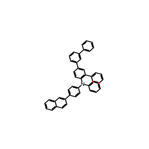 c1ccc(-c2cccc(-c3ccc(N(c4ccccc4)c4ccc(-c5ccc6ccccc6c5)cc4)c(-c4ccccc4)c3)c2)cc1